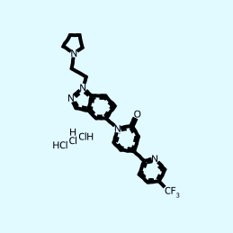 Cl.Cl.Cl.O=c1cc(-c2ccc(C(F)(F)F)cn2)ccn1-c1ccc2c(cnn2CCN2CCCC2)c1